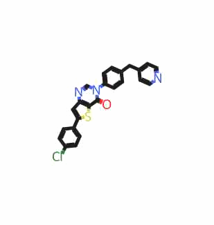 O=c1c2sc(-c3ccc(Cl)cc3)cc2ncn1-c1ccc(Cc2ccncc2)cc1